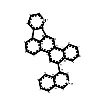 c1cnc2c(c1)-c1cccc3c1c-2cc1c2ccccc2c(-c2cncc4ccccc24)cc31